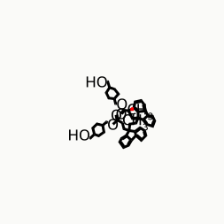 CC(CC1(CCC2(CC(C)C(=O)OCC3CCC(CO)CC3)c3ccccc3-c3ccccc32)c2ccccc2-c2ccccc21)C(=O)OCC1CCC(CO)CC1